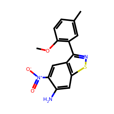 COc1ccc(C)cc1-c1nsc2cc(N)c([N+](=O)[O-])cc12